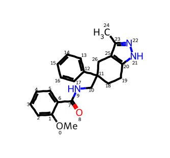 COc1ccccc1C(=O)NCC1(c2ccccc2)CCc2[nH]nc(C)c2C1